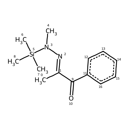 CC(=NN(C)[Si](C)(C)C)C(=O)c1ccccc1